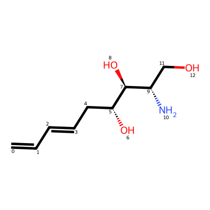 C=C/C=C/C[C@@H](O)[C@@H](O)[C@@H](N)CO